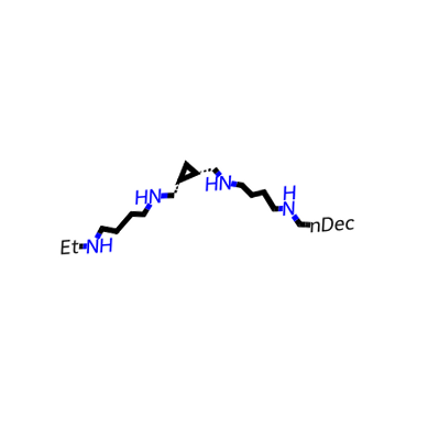 CCCCCCCCCCCNCCCCNC[C@H]1C[C@H]1CNCCCCNCC